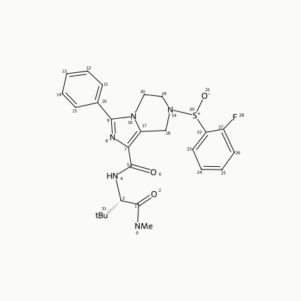 CNC(=O)[C@@H](NC(=O)c1nc(-c2ccccc2)n2c1CN([S+]([O-])c1ccccc1F)CC2)C(C)(C)C